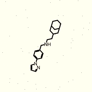 c1cnn(-c2ccc(CNCCC3CC4CCCC(C4)C3)cc2)c1